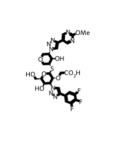 COc1ncc(-c2cn([C@H]3COC[C@@H](S[C@@H]4O[C@H](CO)[C@H](O)[C@H](n5cc(-c6cc(F)c(F)c(F)c6)nn5)[C@H]4OCC(=O)O)[C@@H]3O)nn2)cn1